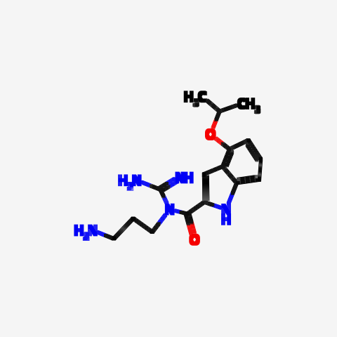 CC(C)Oc1cccc2[nH]c(C(=O)N(CCCN)C(=N)N)cc12